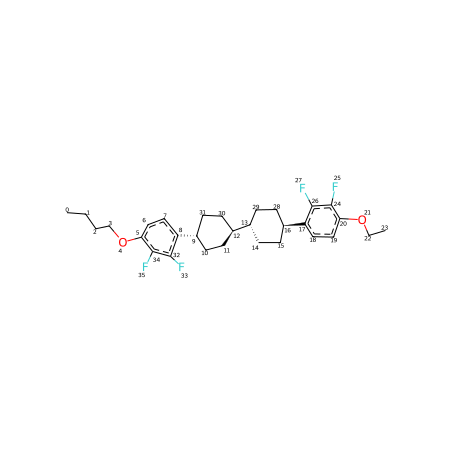 CCCCOc1ccc([C@H]2CC[C@H]([C@H]3CC[C@H](c4ccc(OCC)c(F)c4F)CC3)CC2)c(F)c1F